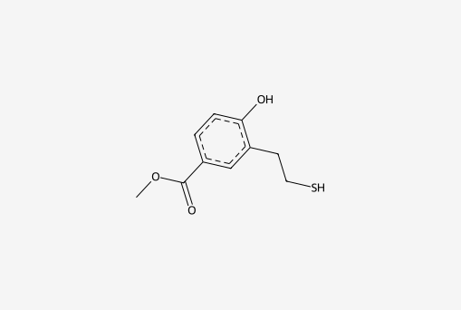 COC(=O)c1ccc(O)c(CCS)c1